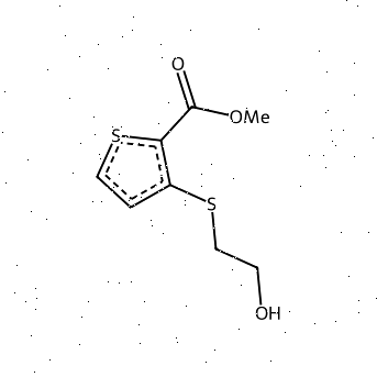 COC(=O)c1sccc1SCCO